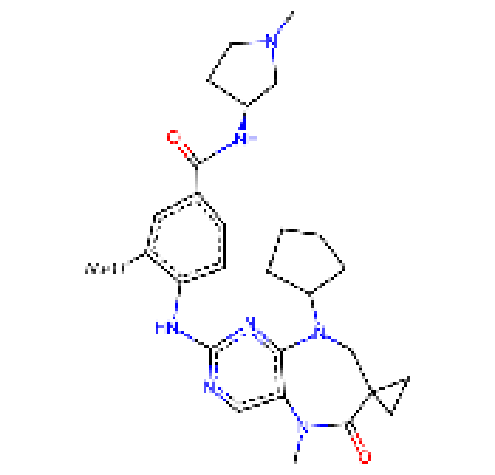 COc1cc(C(=O)N[C@H]2CCN(C)C2)ccc1Nc1ncc2c(n1)N(C1CCCC1)CC1(CC1)C(=O)N2C